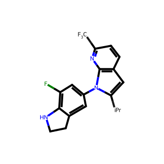 CC(C)c1cc2ccc(C(F)(F)F)nc2n1-c1cc(F)c2c(c1)CCN2